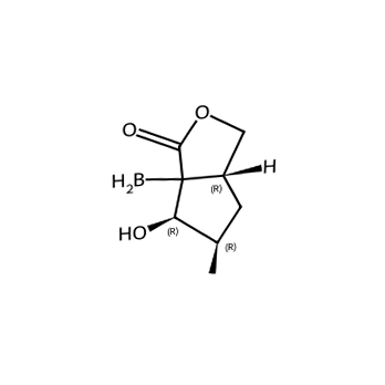 BC12C(=O)OC[C@@H]1C[C@@H](C)[C@H]2O